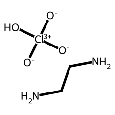 NCCN.[O-][Cl+3]([O-])([O-])O